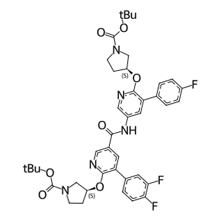 CC(C)(C)OC(=O)N1CC[C@H](Oc2ncc(NC(=O)c3cnc(O[C@H]4CCN(C(=O)OC(C)(C)C)C4)c(-c4ccc(F)c(F)c4)c3)cc2-c2ccc(F)cc2)C1